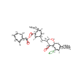 COc1cc(Cl)c2c(c1)OCC(Cc1ccc(OC)c(OC(=O)c3ccccc3)c1)C2=O